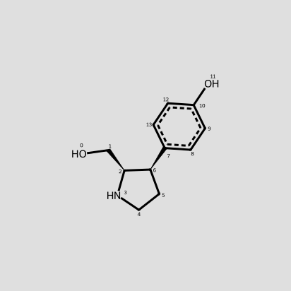 OC[C@@H]1NCC[C@@H]1c1ccc(O)cc1